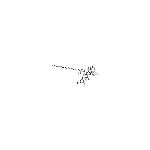 CCCCCCCCCCCCCCCCCC(=O)OCOc1c2n(cc(C(=O)NCc3ccc(F)cc3F)c1=O)[C@@H]1CN(C2=O)[C@@H](C)CC[C@]12CC(C)=NO2